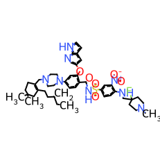 C=C(CC)CCC1=C(CN2CCN(c3ccc(C(=O)NS(=O)(=O)c4ccc(NCC5(F)CCN(C)CC5)c([N+](=O)[O-])c4)c(Oc4cnc5[nH]ccc5c4)c3)CC2)CCC(C)(C)C1